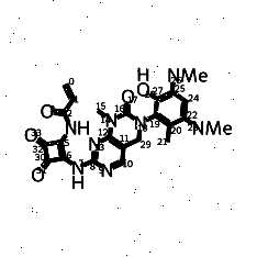 C=CC(=O)Nc1c(Nc2ncc3c(n2)N(C)C(=O)N(c2c(C)c(NC)cc(NC)c2O)C3)c(=O)c1=O